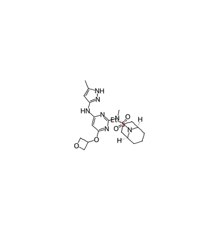 CCS(=O)(=O)N1[C@@H]2CCC[C@H]1C[C@H](N(C)c1nc(Nc3cc(C)[nH]n3)cc(OC3COC3)n1)C2